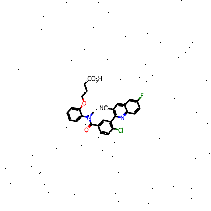 CN(C(=O)c1ccc(Cl)c(-c2nc3ccc(F)cc3cc2C#N)c1)c1ccccc1OCCCC(=O)O